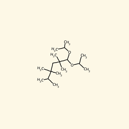 CC(C)OC(OC(C)C)C(C)(C)CC(C)(C)C(C)C